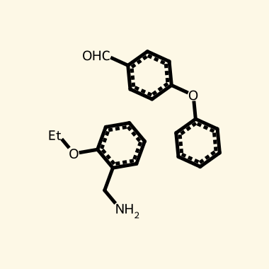 CCOc1ccccc1CN.O=Cc1ccc(Oc2ccccc2)cc1